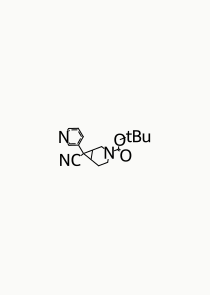 CC(C)(C)OC(=O)N1CCC2C(C1)C2(C#N)c1cccnc1